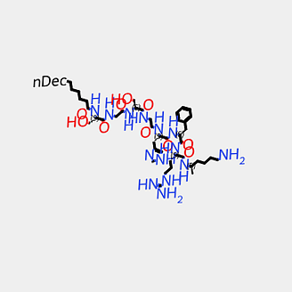 CCCCCCCCCCCCCCCC(=O)N[C@@H](CO)C(=O)NCC(=O)N[C@@H](CO)C(=O)NCC(=O)N[C@@H](Cc1c[nH]cn1)C(=O)N[C@@H](Cc1ccccc1)C(=O)N[C@@H](CCCNC(=N)N)C(=O)N[C@H](C)CCCCN